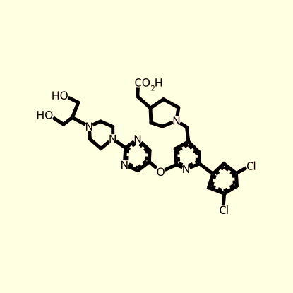 O=C(O)CC1CCN(Cc2cc(Oc3cnc(N4CCN(C(CO)CO)CC4)nc3)nc(-c3cc(Cl)cc(Cl)c3)c2)CC1